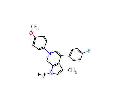 Cc1cn(C)c2c1C(c1ccc(F)cc1)=CN(c1ccc(OC(F)(F)F)cc1)C2